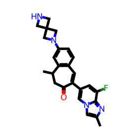 Cc1cn2cc(C3=Cc4ccc(N5CC6(CNC6)C5)cc4C(C)CC3=O)cc(F)c2n1